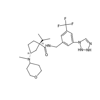 CC(C)[C@]1(C(=O)NCc2cc(N3C=NNN3)cc(C(F)(F)F)c2)CC[C@@H](N(C)C2CCOCC2)C1